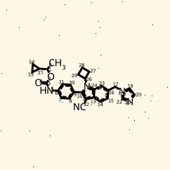 CC(OC(=O)Nc1ccc(-c2c(C#N)c3ccc(Cn4ccnc4)cc3n2C2CCC2)cc1)C1CC1